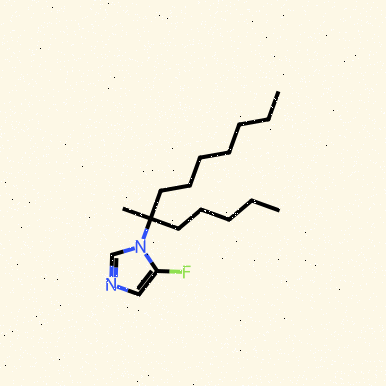 CCCCCCCC(C)(CCCCC)n1cncc1F